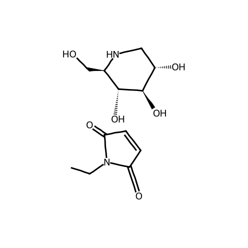 CCN1C(=O)C=CC1=O.OC[C@H]1NC[C@H](O)[C@@H](O)[C@@H]1O